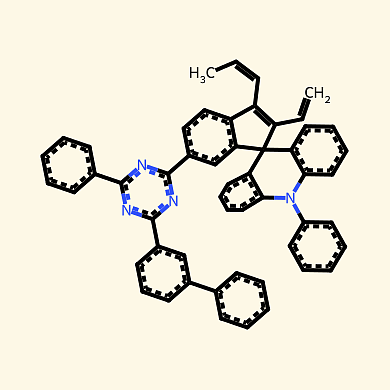 C=CC1=C(/C=C\C)c2ccc(-c3nc(-c4ccccc4)nc(-c4cccc(-c5ccccc5)c4)n3)cc2C12c1ccccc1N(c1ccccc1)c1ccccc12